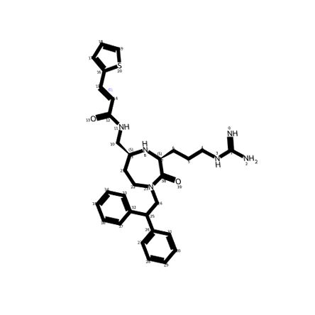 N=C(N)NCCC[C@@H]1N[C@H](CNC(=O)/C=C/c2cccs2)CCN(CC(c2ccccc2)c2ccccc2)C1=O